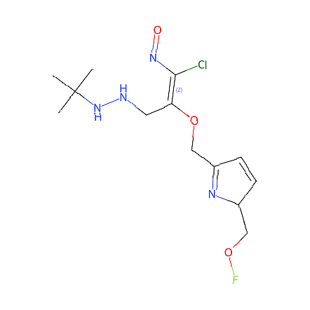 CC(C)(C)NNC/C(OCC1=NC(COF)C=C1)=C(/Cl)N=O